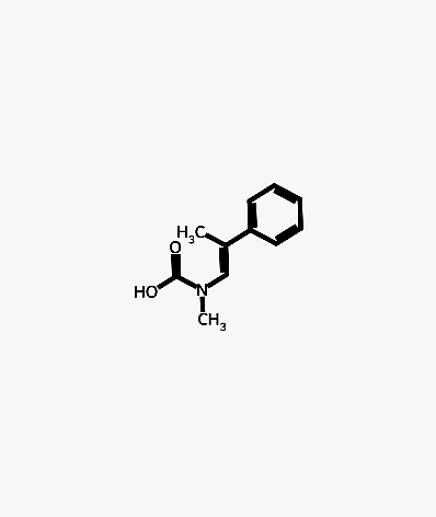 CC(=CN(C)C(=O)O)c1ccccc1